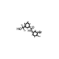 Cc1ccc(NC(=O)c2ccnc(C(C)(C)O)c2)cc1Br